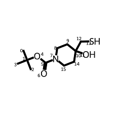 CC(C)(C)OC(=O)N1CCC(O)(CS)CC1